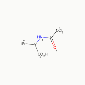 CC(C)C(NC(=O)C(Cl)(Cl)Cl)C(=O)O